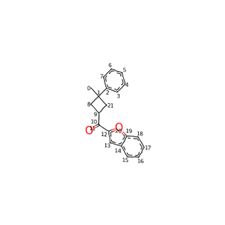 CC1(c2ccccc2)CC(C(=O)c2cc3ccccc3o2)C1